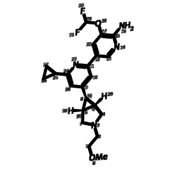 COCCN1C[C@@H]2[C@H](C1)[C@H]2c1cc(-c2cnc(N)c(OC(F)F)c2)nc(C2CC2)c1